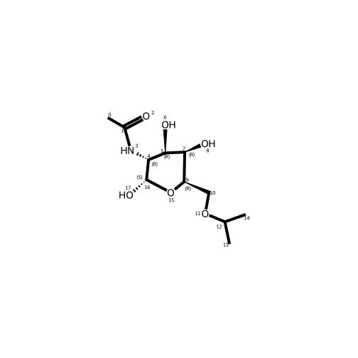 CC(=O)N[C@@H]1[C@@H](O)[C@@H](O)[C@@H](COC(C)C)O[C@@H]1O